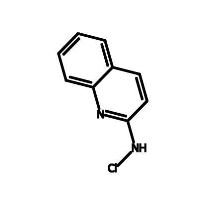 ClNc1ccc2ccccc2n1